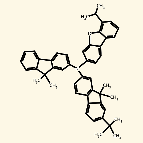 CC(C)c1cccc2c1oc1cc(N(c3ccc4c(c3)C(C)(C)c3ccccc3-4)c3ccc4c(c3)C(C)(C)c3cc(C(C)(C)C)ccc3-4)ccc12